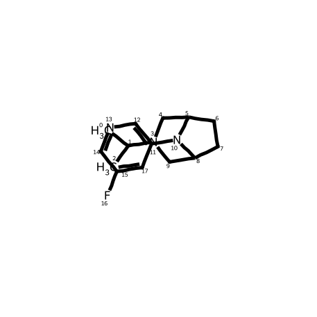 CC(C)N1CC2CCC(C1)N2c1cncc(F)c1